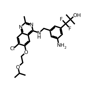 Cc1nc(NCc2cc(N)cc(C(F)(F)C(C)(C)O)c2)c2cc(OCCOC(C)C)c(Cl)cc2n1